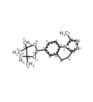 Cc1nnc2n1-c1ccc(B3OC(C)(C)C(C)(C)O3)cc1CC2